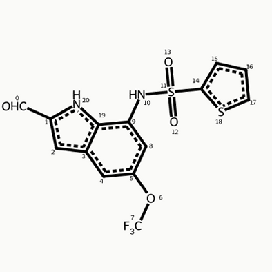 O=Cc1cc2cc(OC(F)(F)F)cc(NS(=O)(=O)c3cccs3)c2[nH]1